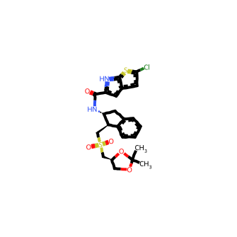 CC1(C)OC[C@@H](CS(=O)(=O)C[C@@H]2c3ccccc3C[C@H]2NC(=O)c2cc3cc(Cl)sc3[nH]2)O1